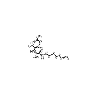 CC(C)C(=O)N[C@H](C)C(=O)N[C@@H](C(=O)NCCCCCCN)C(C)C